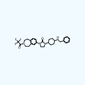 O=C1N(c2ccc3c(c2)CCN(C(=O)C(F)(F)F)CC3)CCN1C1CCC(NCc2ccccc2)CC1